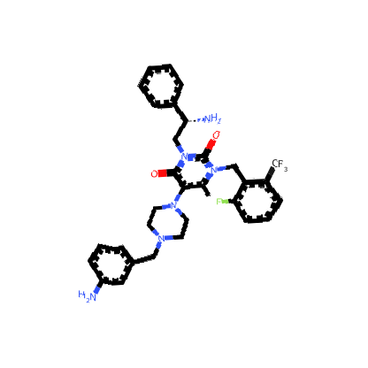 Cc1c(N2CCN(Cc3cccc(N)c3)CC2)c(=O)n(C[C@@H](N)c2ccccc2)c(=O)n1Cc1c(F)cccc1C(F)(F)F